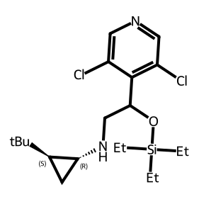 CC[Si](CC)(CC)OC(CN[C@@H]1C[C@H]1C(C)(C)C)c1c(Cl)cncc1Cl